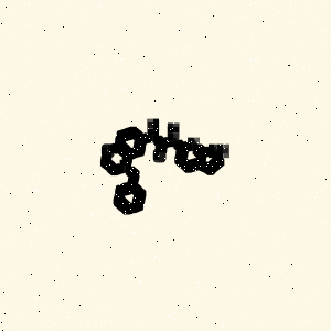 O=C(Nc1ccc2c(c1)N(Cc1ccccc1)CCO2)Nc1ccc2cc[nH]c2n1